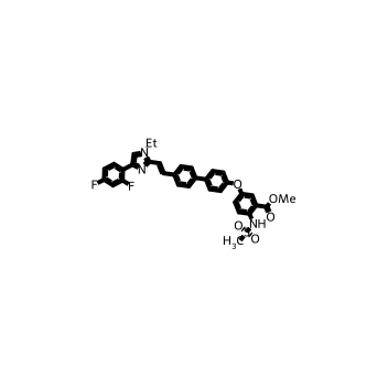 CCn1cc(-c2ccc(F)cc2F)nc1C=Cc1ccc(-c2ccc(Oc3ccc(NS(C)(=O)=O)c(C(=O)OC)c3)cc2)cc1